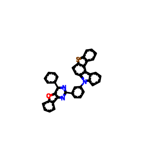 c1ccc(-c2nc(-c3cccc(-n4c5ccccc5c5c6c(ccc54)sc4ccccc46)c3)nc3c2oc2ccccc23)cc1